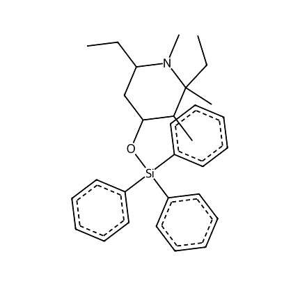 CCC1CC(O[Si](c2ccccc2)(c2ccccc2)c2ccccc2)C(C)C(C)(CC)N1C